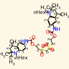 CCCCCCN1c2ccc(NC(=O)OCCS(=O)(=O)CS(=O)(=O)CCOC(=O)Nc3ccc4c(c3)C(C)CC(C)(C)N4CCCCCC)cc2C(C)CC1(C)C